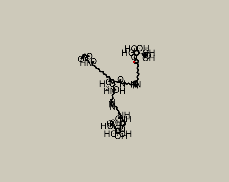 CC(CCC(=O)NCCCCn1cc(CCCCCCCc2ccc(O[C@H]3C[C@H](CCP(=O)(O)O)[C@@H](O)[C@H](O)[C@@H]3O)cc2)nn1)(CCC(=O)NCCCCn1cc(CCCCNC(=O)Nc2ccc(O[C@H]3O[C@H](CCP(=O)(O)O)[C@@H](O)[C@H](O)[C@@H]3O)cc2)nn1)CC(=O)CCCCCCCCCCC(=O)NCCN1C(=O)C=CC1=O